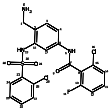 NCc1ccc(NC(=O)c2c(F)cccc2Cl)cc1NS(=O)(=O)c1ccccc1Cl